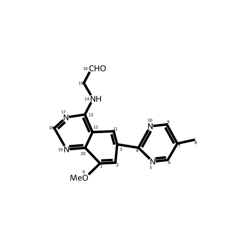 COc1cc(-c2ncc(C)cn2)cc2c(NCC=O)ncnc12